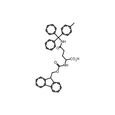 Cc1ccc(C(NC(=O)CCC(NC(=O)OCC2c3ccccc3-c3ccccc32)C(=O)O)(c2ccccc2)c2ccccc2)cc1